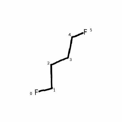 F[CH]CCCF